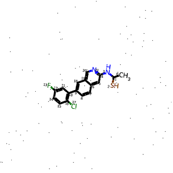 CC(S)Nc1cc2ccc(-c3cc(F)ccc3Cl)cc2cn1